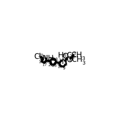 CC(C)(C)OC(=O)N1CCCC(c2ccc(-c3ccc(Cl)[nH]3)cc2)C1